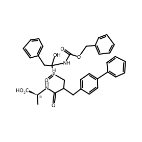 C[C@H](NC(=O)C(Cc1ccc(-c2ccccc2)cc1)C[PH](=O)C(O)(Cc1ccccc1)NC(=O)OCc1ccccc1)C(=O)O